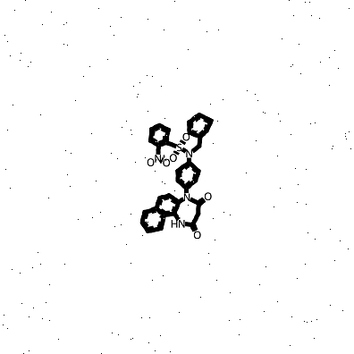 O=C1CC(=O)N(c2ccc(N(Cc3ccccc3)S(=O)(=O)c3ccccc3[N+](=O)[O-])cc2)c2ccc3ccccc3c2N1